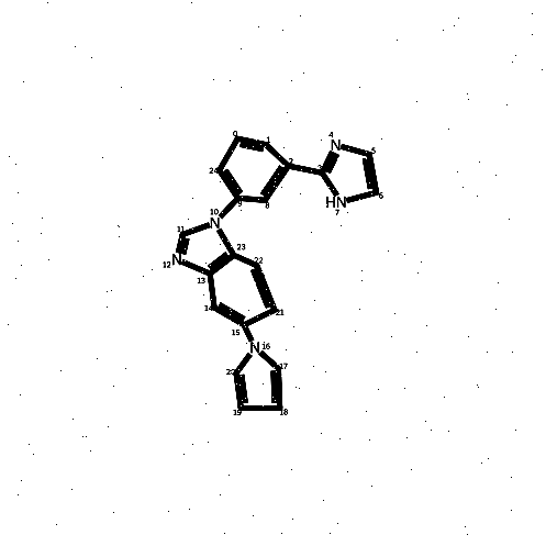 c1cc(-c2ncc[nH]2)cc(-n2cnc3cc(-n4cccc4)ccc32)c1